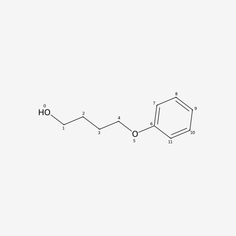 OCCCCOc1ccccc1